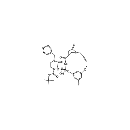 CC(C)(C)OC(=O)N1CCN(Cc2ccccc2)C(=O)[C@@H]1[C@@H](O)[C@@H]1Cc2cc(F)cc(c2)OCC=CCN2CC(CC2=O)C(=O)N1